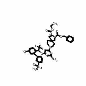 CCOC(=O)[C@@H]1CC2(CCN(c3cc(OC(c4ccc(Cl)cc4-c4cccc(S(N)(=O)=O)c4)C(F)(F)F)nc(N)n3)CC2)CN1C(=O)OCc1ccccc1